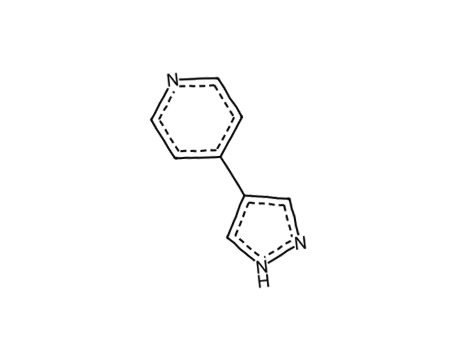 c1cc(-c2cn[nH]c2)ccn1